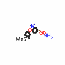 CSc1ccc(Oc2ccc(SOON)cc2N(C)C)cc1C